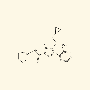 COc1ccccc1-c1nc(C(=O)NN2CCCCC2)c(C)n1CCC1CC1